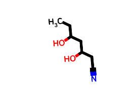 CCC(O)CC(O)CC#N